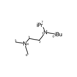 CCC(C)N(CCN(C)C)C(C)C